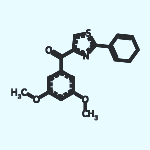 COc1cc(OC)cc(C(=O)c2csc(C3=CCCC=C3)n2)c1